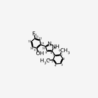 Cc1cccc(C)c1-c1cc(-c2cc(F)ccc2O)n[nH]1